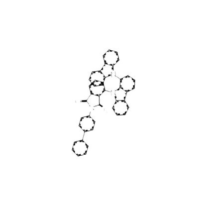 O=C1c2cccc(-n3c4ccccc4c4cccc(-n5c6ccccc6c6ccccc65)c43)c2C(=O)N1c1ccc(-c2ccccc2)cc1